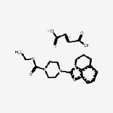 CCOC(=O)N1CCN(c2nc3cccc4c3n2CCC4)CC1.O=C(O)/C=C/C(=O)O